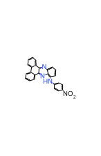 O=[N+]([O-])c1ccc(Nc2cccc3nc4c5ccccc5c5ccccc5c4nc23)cc1